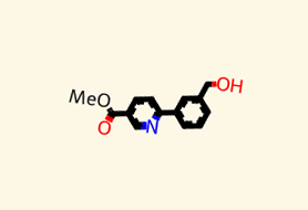 COC(=O)c1ccc(-c2cccc(CO)c2)nc1